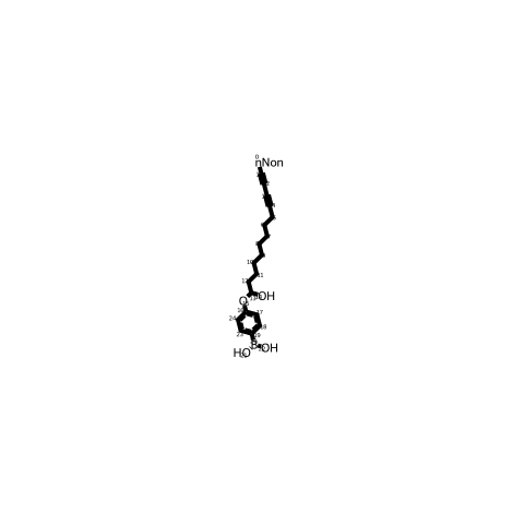 CCCCCCCCCC#CC#CCCCCCCCCC(O)Oc1ccc(B(O)O)cc1